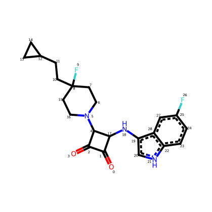 O=C1C(=O)C(N2CCC(F)(CCC3CC3)CC2)C1Nc1c[nH]c2ccc(F)cc12